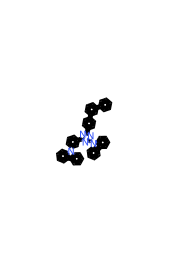 c1ccc(-c2cccc(-c3ccc(-c4nc(-c5cccc(-n6c7ccccc7c7ccccc76)c5)nc(-n5c6ccccc6c6ccccc65)n4)cc3)c2)cc1